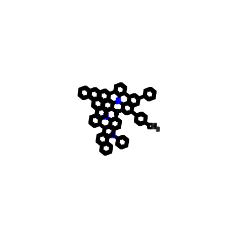 Cc1ccc(-c2ccc3c(c2)B2c4ccc(N(c5ccccc5)c5ccccc5)cc4N(c4c(-c5cccc(-c6ccccc6)c5)cccc4-c4cccc(-c5ccccc5)c4)c4cc(-c5ccccc5)cc(c42)N3c2c(-c3cccc(-c4ccccc4)c3)cccc2-c2cccc(-c3ccccc3)c2)cc1